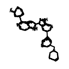 Fc1cccc(-c2nccc3[nH]c(-c4n[nH]c5ncc(-c6cncc(CN7CCCCC7)c6)cc45)cc23)c1